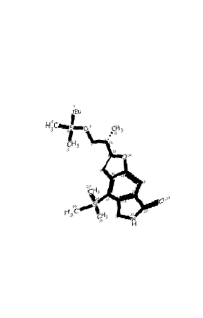 C[C@@H](CO[Si](C)(C)C(C)(C)C)[C@@H]1Cc2c(cc3c(c2[Si](C)(C)C)CNC3=O)O1